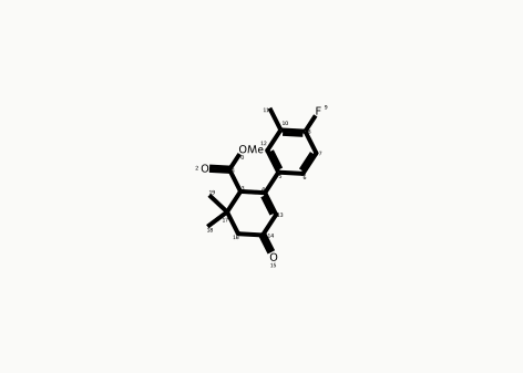 COC(=O)C1C(c2ccc(F)c(C)c2)=CC(=O)CC1(C)C